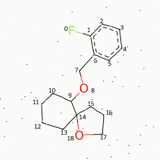 Fc1ccccc1COC1CCCCC12CCCO2